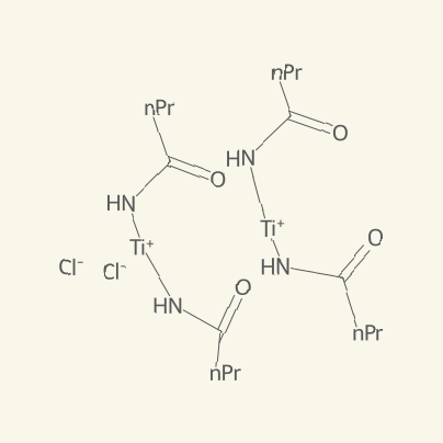 CCCC(=O)[NH][Ti+][NH]C(=O)CCC.CCCC(=O)[NH][Ti+][NH]C(=O)CCC.[Cl-].[Cl-]